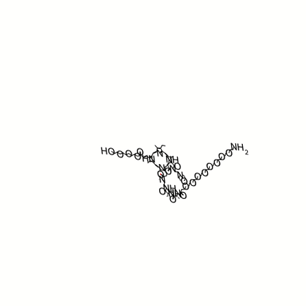 CCC1=C(C)c2cc3[nH]c(cc4nc(c5c6[nH]c(cc1n2)c(C)c6C(=O)N(CCN1CCOCC1)C5=O)[C@@H](CCC(=O)N(C)CCNC(=O)[C@H](C)NC(=O)[C@H](C)NC(=O)CCOCCOCCOCCOCCOCCOCCOCCOCCN)[C@@H]4C)c(C)c3/C=C/C(=O)OCCOCCOCCO